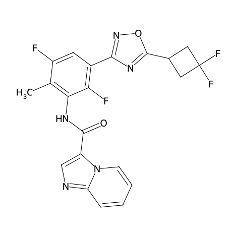 Cc1c(F)cc(-c2noc(C3CC(F)(F)C3)n2)c(F)c1NC(=O)c1cnc2ccccn12